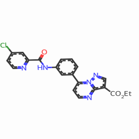 CCOC(=O)c1cnn2c(-c3cccc(NC(=O)c4cc(Cl)ccn4)c3)ccnc12